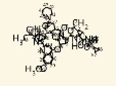 C=CC1C[C@]1(NC(=O)[C@@H]1C[C@@H](Oc2cc(-c3nc(C(C)C)cs3)nc3cc(OC)ccc23)CN1C(=O)C(CC(=O)N1CCCCC1)C(C)(C)C)C(=O)NS(=O)(=O)C1CC1